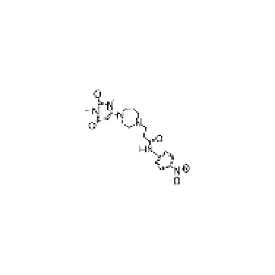 Cn1c(N2CCCN(CCC(=O)Nc3ccc([N+](=O)[O-])cc3)CC2)cc(=O)n(C)c1=O